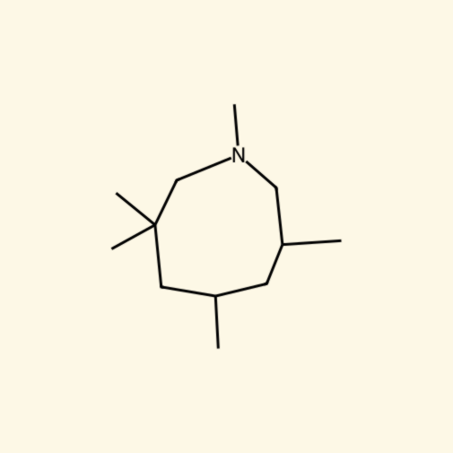 CC1CC(C)CC(C)(C)CN(C)C1